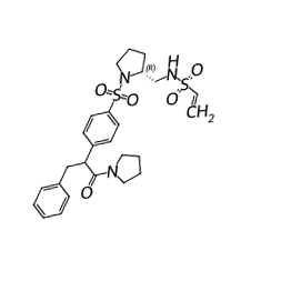 C=CS(=O)(=O)NC[C@H]1CCCN1S(=O)(=O)c1ccc(C(Cc2ccccc2)C(=O)N2CCCC2)cc1